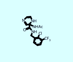 CC(=O)NC1(C(=O)NCc2cccc(C(F)(F)F)c2Cl)C=NC=CN1